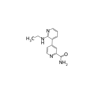 CCNc1ncccc1-c1ccnc(C(N)=O)c1